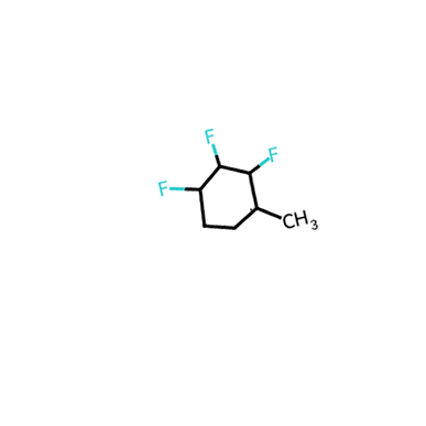 C[C]1CCC(F)C(F)C1F